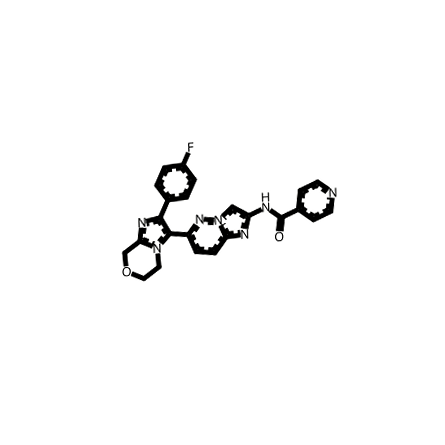 O=C(Nc1cn2nc(-c3c(-c4ccc(F)cc4)nc4n3CCOC4)ccc2n1)c1ccncc1